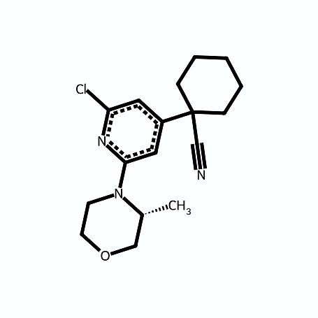 C[C@@H]1COCCN1c1cc(C2(C#N)CCCCC2)cc(Cl)n1